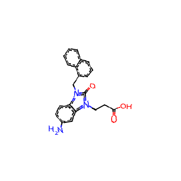 Nc1ccc2c(c1)n(CCC(=O)O)c(=O)n2Cc1cccc2ccccc12